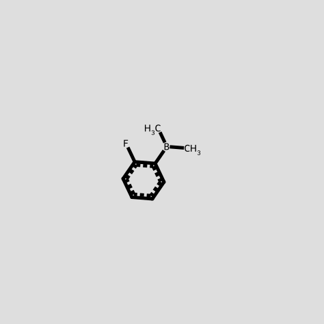 CB(C)c1ccccc1F